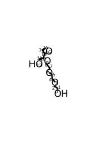 OCCOCCOCCOC(CO)C1CCO1